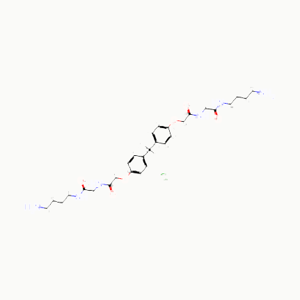 CC(C)(c1ccc(OCC(=O)NCC(=O)NCCCCN)cc1)c1ccc(OCC(=O)NCC(=O)NCCCCN)cc1.Cl.Cl